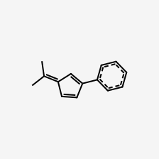 CC(C)=C1C=CC(c2ccccc2)=C1